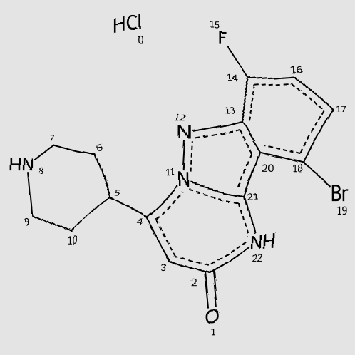 Cl.O=c1cc(C2CCNCC2)n2nc3c(F)ccc(Br)c3c2[nH]1